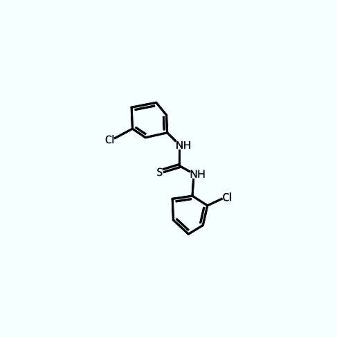 S=C(Nc1cccc(Cl)c1)Nc1ccccc1Cl